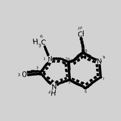 Cn1c(=O)[nH]c2ccnc(Cl)c21